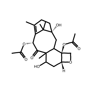 CC(=O)O[C@H]1C(=O)C2(C)C(O)C[C@H]3OC[C@@]3(OC(C)=O)C2C[C@]2(O)CCC(C)=C1C2(C)C